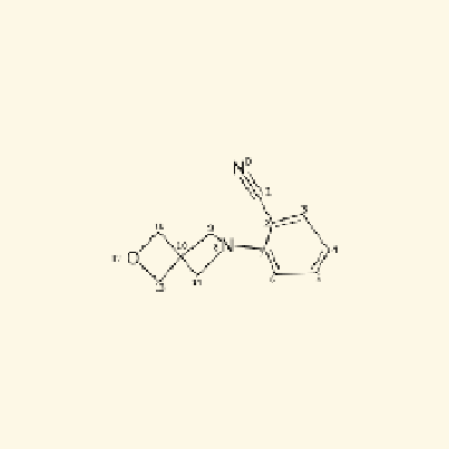 N#Cc1ccccc1N1CC2(COC2)C1